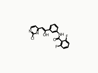 O=C(Nc1cccc(C(O)=Cc2ccnc(Cl)n2)c1)c1c(F)cccc1F